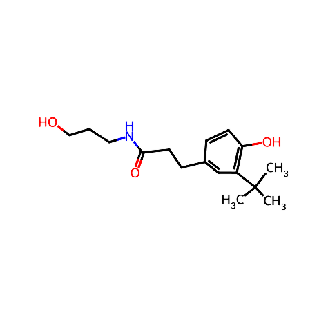 CC(C)(C)c1cc(CCC(=O)NCCCO)ccc1O